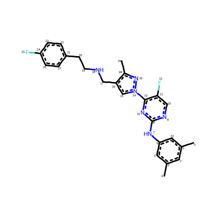 Cc1cc(C)cc(Nc2ncc(F)c(-n3cc(CNCCc4ccc(F)cc4)c(C)n3)n2)c1